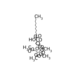 CCCCCCCCCCCOc1c(O)c2ccc(O[C@@H]3O[C@H](COC(C)=O)[C@H](OC(C)=O)[C@H](OC(C)=O)[C@H]3OC(C)=O)cc2oc1=O